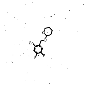 Fc1cc(Br)c(COC2CCCCO2)cc1F